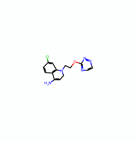 NC1=CCN(CCOc2nccnn2)c2cc(Cl)ccc21